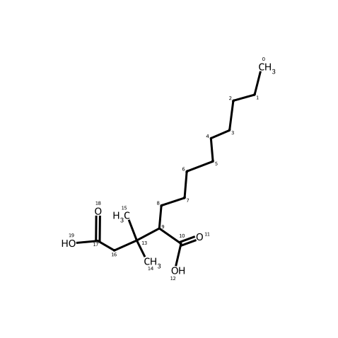 CCCCCCCCCC(C(=O)O)C(C)(C)CC(=O)O